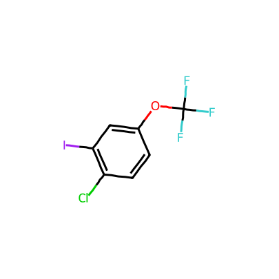 FC(F)(F)Oc1ccc(Cl)c(I)c1